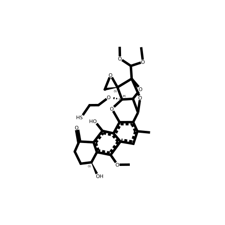 COc1c2c(c(O)c3c4c(c(C)cc13)C1OC3(C(OC)OC)OC1[C@@](OCCS)(O4)[C@@]31CO1)C(=O)CC[C@@H]2O